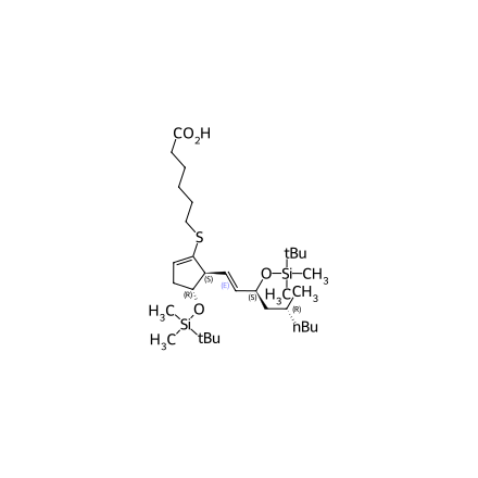 CCCC[C@@H](C)C[C@@H](/C=C/[C@@H]1C(SCCCCCC(=O)O)=CC[C@H]1O[Si](C)(C)C(C)(C)C)O[Si](C)(C)C(C)(C)C